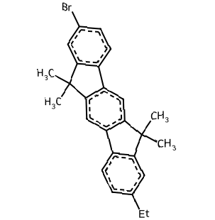 CCc1ccc2c(c1)C(C)(C)c1cc3c(cc1-2)C(C)(C)c1cc(Br)ccc1-3